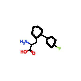 N[C@@H](Cc1ccccc1-c1ccc(F)cc1)C(=O)O